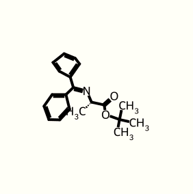 C[C@H](N=C(c1ccccc1)c1ccccc1)C(=O)OC(C)(C)C